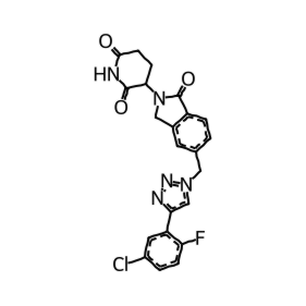 O=C1CCC(N2Cc3cc(Cn4cc(-c5cc(Cl)ccc5F)nn4)ccc3C2=O)C(=O)N1